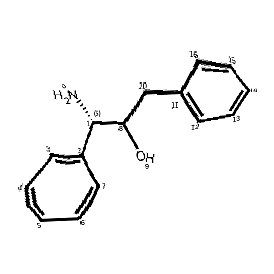 N[C@@H](c1ccccc1)C(O)Cc1ccccc1